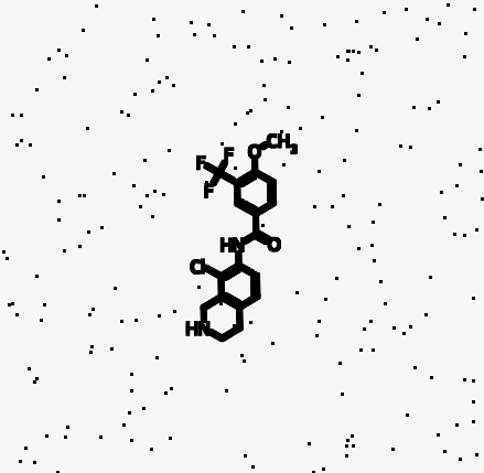 COc1ccc(C(=O)Nc2ccc3c(c2Cl)CNCC3)cc1C(F)(F)F